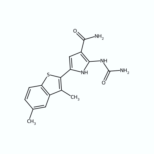 Cc1ccc2sc(-c3cc(C(N)=O)c(NC(N)=O)[nH]3)c(C)c2c1